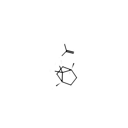 CC1(C)[C@@H]2CC[C@@]1(C)[C@@H](OC(=O)O)C2